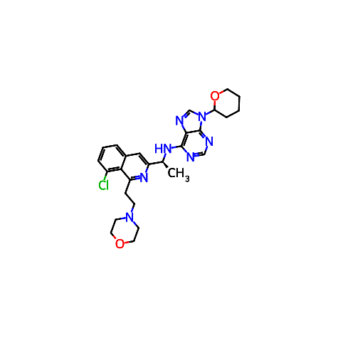 C[C@H](Nc1ncnc2c1ncn2C1CCCCO1)c1cc2cccc(Cl)c2c(CCN2CCOCC2)n1